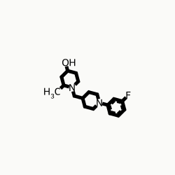 CC1CC(O)CCN1CC1CCN(c2cccc(F)c2)CC1